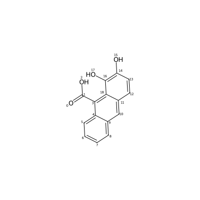 O=C(O)c1c2ccccc2cc2ccc(O)c(O)c12